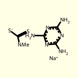 CNC(=S)[S-].Nc1nc(N)nc(N)n1.[Na+]